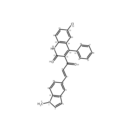 Cn1ccc2cc(C=CC(=O)c3c(-c4ccccc4)c4cc(Cl)ccc4[nH]c3=O)ccc21